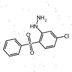 NNc1cc(Cl)ccc1S(=O)(=O)c1ccccc1